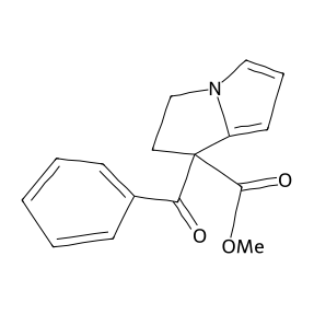 COC(=O)C1(C(=O)c2ccccc2)CCn2cccc21